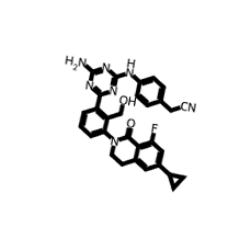 N#CCc1ccc(Nc2nc(N)nc(-c3cccc(N4CCc5cc(C6CC6)cc(F)c5C4=O)c3CO)n2)cc1